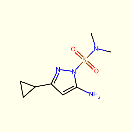 CN(C)S(=O)(=O)n1nc(C2CC2)cc1N